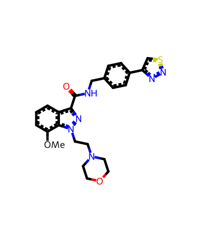 COc1cccc2c(C(=O)NCc3ccc(-c4csnn4)cc3)nn(CCN3CCOCC3)c12